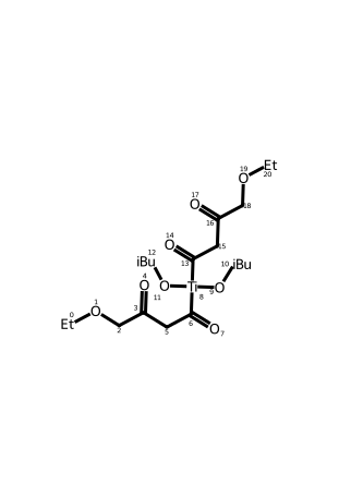 CCOCC(=O)C[C](=O)[Ti]([O]C(C)CC)([O]C(C)CC)[C](=O)CC(=O)COCC